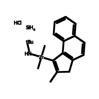 CC1=[C]([Zr]([CH3])([CH3])[NH]C(C)(C)C)c2c(ccc3ccccc23)C1.Cl.[SiH4]